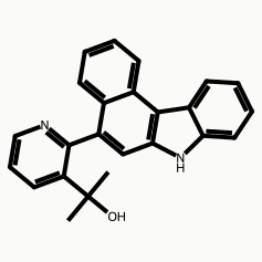 CC(C)(O)c1cccnc1-c1cc2[nH]c3ccccc3c2c2ccccc12